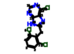 Clc1cccc(Cl)c1Cc1nc2c(Cl)ncnc2[nH]1